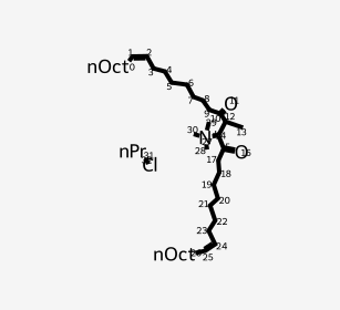 CCCCCCCC/C=C\CCCCCCCC(=O)C(C)C(C(=O)CCCCCCC/C=C\CCCCCCCC)[N+](C)(C)C.CCCCl